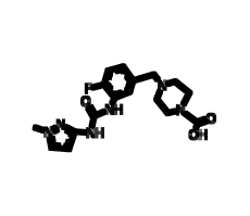 Cn1ccc(NC(=O)Nc2cc(CN3CCN(C(=O)O)CC3)ccc2F)n1